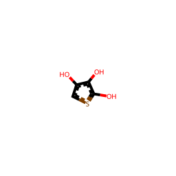 Oc1csc(O)c1O